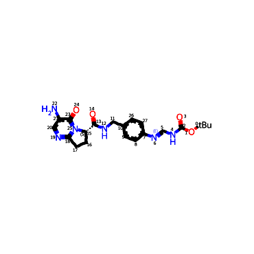 CC(C)(C)OC(=O)N/C=N/c1ccc(CNC(=O)[C@@H]2CCc3ncc(N)c(=O)n32)cc1